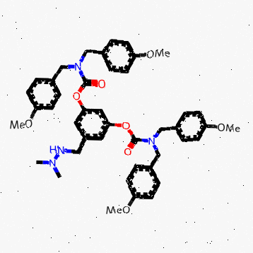 COc1ccc(CN(Cc2ccc(OC)cc2)C(=O)Oc2cc(CNN(C)C)cc(OC(=O)N(Cc3ccc(OC)cc3)Cc3ccc(OC)cc3)c2)cc1